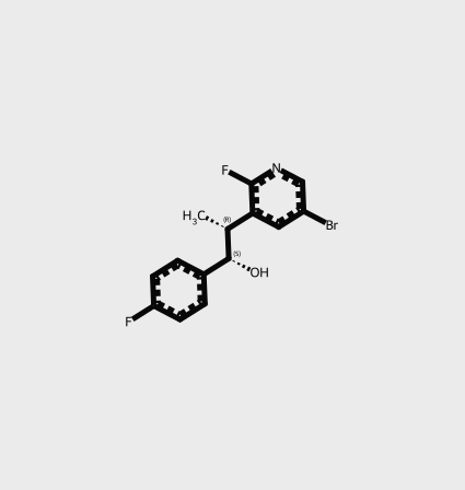 C[C@H](c1cc(Br)cnc1F)[C@H](O)c1ccc(F)cc1